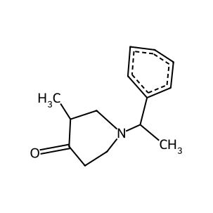 CC1CN(C(C)c2ccccc2)CCC1=O